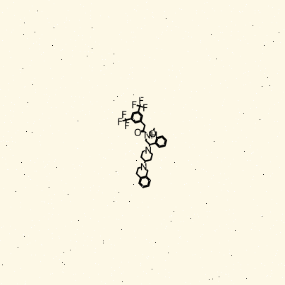 COc1ccccc1C(CNC(=O)Cc1cc(C(F)(F)F)cc(C(F)(F)F)c1)N1CCC(N2CCc3ccccc3C2)CC1